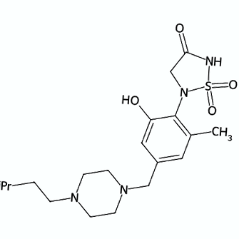 Cc1cc(CN2CCN(CCC(C)C)CC2)cc(O)c1N1CC(=O)NS1(=O)=O